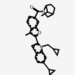 Cc1c(-c2cc3ccc(C4CC4)cc3n2CC2CC2)oc2cc(C(=O)N3CC4CCC3C4C)ccc12